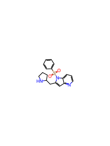 O=S(=O)(c1ccccc1)n1c(CC2CCCN2)cc2ncccc21